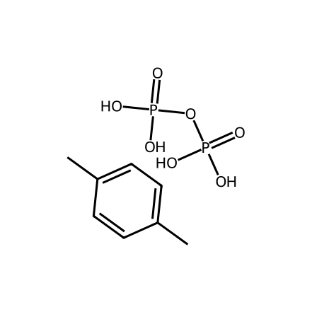 Cc1ccc(C)cc1.O=P(O)(O)OP(=O)(O)O